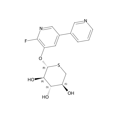 O[C@@H]1[C@@H](O)[C@H](Oc2cc(-c3cccnc3)cnc2F)SC[C@H]1O